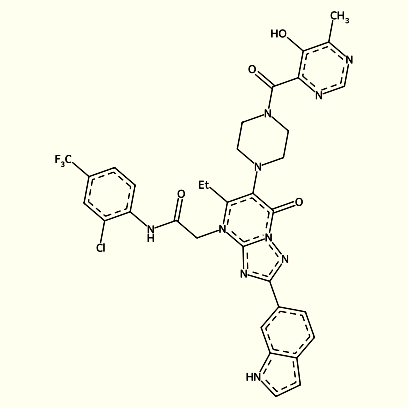 CCc1c(N2CCN(C(=O)c3ncnc(C)c3O)CC2)c(=O)n2nc(-c3ccc4cc[nH]c4c3)nc2n1CC(=O)Nc1ccc(C(F)(F)F)cc1Cl